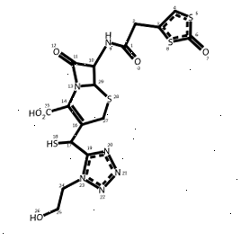 O=C(Cc1csc(=O)s1)NC1C(=O)N2C(C(=O)O)=C(C(S)c3nnnn3CCO)CSC12